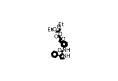 CCOCC(COCC)OC(=O)c1cc2cc(NC(=O)[C@H]3NCC[C@H]3C3CCCCC3)ccc2o1